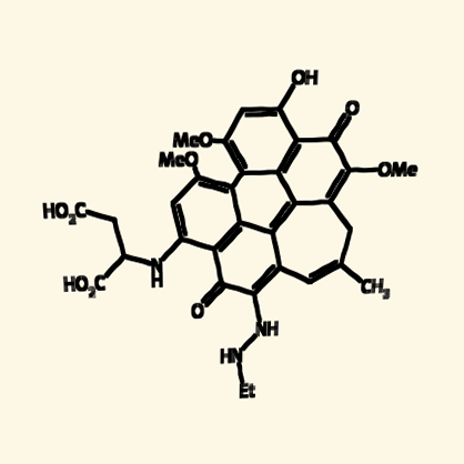 CCNNc1c2c3c4c(c(OC)c(=O)c5c(O)cc(OC)c(c6c(OC)cc(NC(CC(=O)O)C(=O)O)c(c1=O)c63)c54)CC(C)=C2